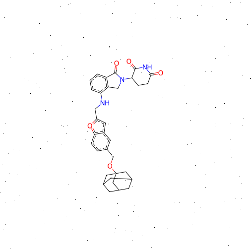 O=C1CCC(N2Cc3c(NCc4cc5cc(COC67CC8CC(CC(C8)C6)C7)ccc5o4)cccc3C2=O)C(=O)N1